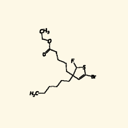 CCCCCCC1(CCCCC(=O)OCC)C=C(Br)SC1F